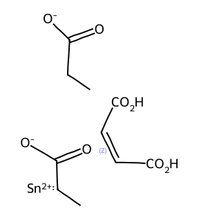 CCC(=O)[O-].CCC(=O)[O-].O=C(O)/C=C\C(=O)O.[Sn+2]